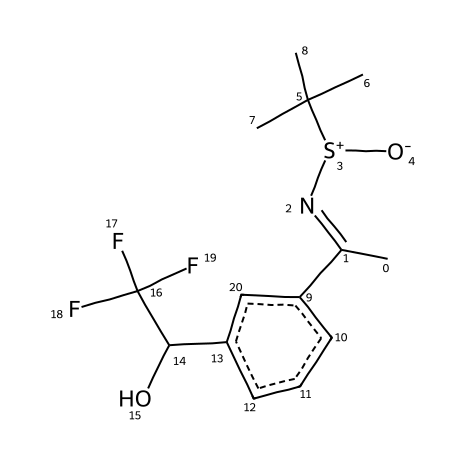 CC(=N[S+]([O-])C(C)(C)C)c1cccc(C(O)C(F)(F)F)c1